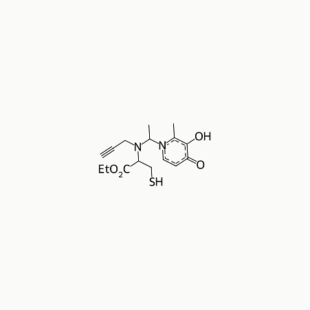 C#CCN(C(CS)C(=O)OCC)C(C)n1ccc(=O)c(O)c1C